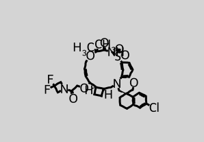 CC1(C)OCC=C[C@H](OCC(=O)N2CC(F)(F)C2)[C@@H]2CC[C@H]2CN2C[C@@]3(CCCc4cc(Cl)ccc43)COc3ccc(cc32)S(=O)(=O)NC1=O